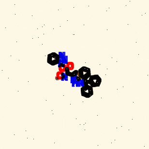 CON=C(C(=O)On1nnc2ccccc21)c1csc(NC(c2ccccc2)(c2ccccc2)c2ccccc2)n1